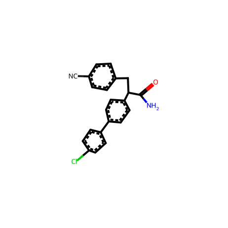 N#Cc1ccc(CC(C(N)=O)c2ccc(-c3ccc(Cl)cc3)cc2)cc1